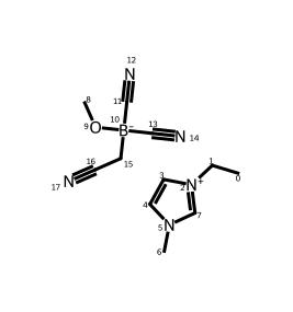 CC[n+]1ccn(C)c1.CO[B-](C#N)(C#N)CC#N